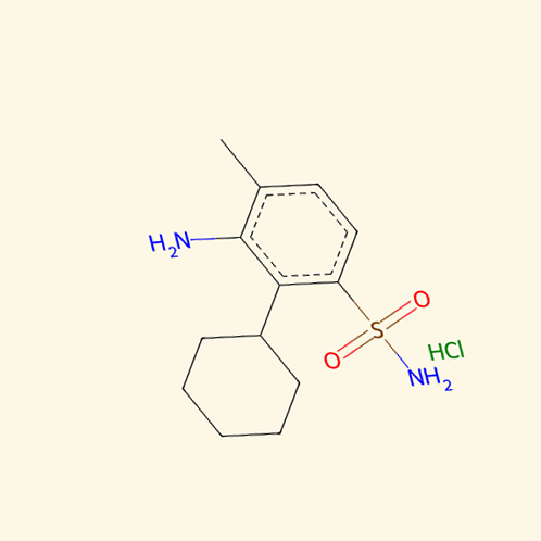 Cc1ccc(S(N)(=O)=O)c(C2CCCCC2)c1N.Cl